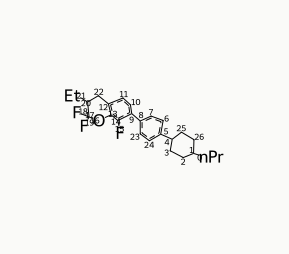 CCCC1CCC(c2ccc(-c3ccc4c(c3F)OC(F)(F)C(CC)C4)cc2)CC1